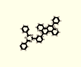 c1ccc(-c2nc(-c3ccccc3)nc(-c3cccc(-c4cc5c6cccnc6c(-c6ccccc6)cc5c5cccnc45)c3)n2)cc1